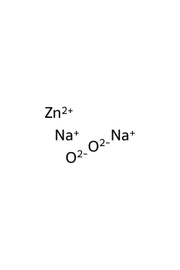 [Na+].[Na+].[O-2].[O-2].[Zn+2]